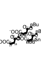 CCCCOC(=O)/C=C\C(=O)[O-].CCCCOC(=O)/C=C\C(=O)[O-].CCCCOC(=O)/C=C\C(=O)[O-].CCC[CH2][Sn+3]